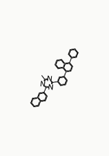 Cc1nc(-c2cccc(-c3ccc(-c4ccccc4)c4ccccc34)c2)nc(-c2ccc3ccccc3c2)n1